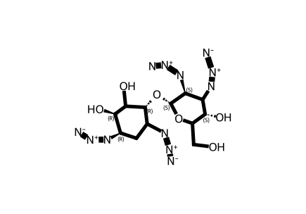 [N-]=[N+]=NC1C[C@@H](N=[N+]=[N-])[C@@H](O)C(O)[C@@H]1O[C@H]1OC(CO)[C@@H](O)C(N=[N+]=[N-])[C@@H]1N=[N+]=[N-]